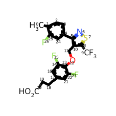 Cc1ccc(-c2nsc(C(F)(F)F)c2COc2c(F)cc(CCC(=O)O)cc2F)cc1F